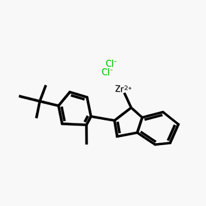 Cc1cc(C(C)(C)C)ccc1C1=Cc2ccccc2[CH]1[Zr+2].[Cl-].[Cl-]